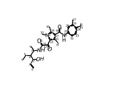 C=CC(O)C(CC)C(C)NC(=O)C(=O)c1c(C)c(C(=O)Nc2ccc(F)c(C)c2)c(C)n1C